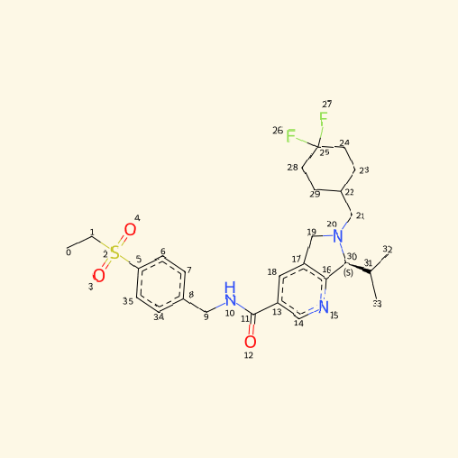 CCS(=O)(=O)c1ccc(CNC(=O)c2cnc3c(c2)CN(CC2CCC(F)(F)CC2)[C@H]3C(C)C)cc1